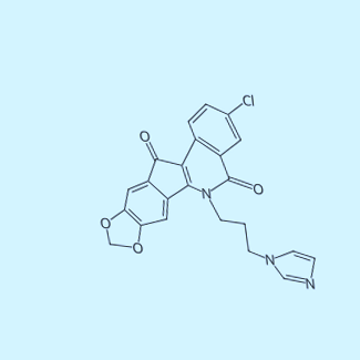 O=C1c2cc3c(cc2-c2c1c1ccc(Cl)cc1c(=O)n2CCCn1ccnc1)OCO3